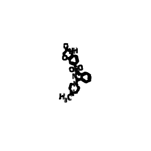 CN1CCN(c2nn(S(=O)(=O)c3ccc4c(c3)OCC(=O)N4)c3ccccc23)CC1